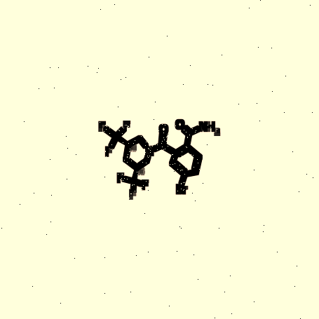 NC(=O)c1ccc(Br)cc1C(=O)N1C[C@H](C(F)(F)F)C[C@H](C(F)(F)F)C1